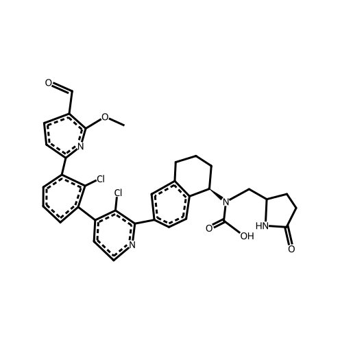 COc1nc(-c2cccc(-c3ccnc(-c4ccc5c(c4)CCC[C@H]5N(CC4CCC(=O)N4)C(=O)O)c3Cl)c2Cl)ccc1C=O